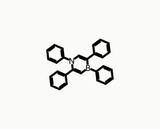 C1=C(c2ccccc2)B(c2ccccc2)C=C(c2ccccc2)N1c1ccccc1